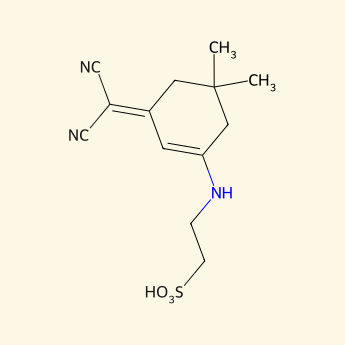 CC1(C)CC(NCCS(=O)(=O)O)=CC(=C(C#N)C#N)C1